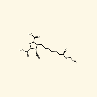 CCOC(=O)CCCCCCC1C(C(=O)O)CC(C(=O)O)C1C#N